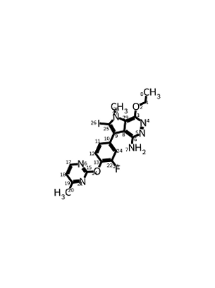 CCOc1nnc(N)c2c(-c3ccc(Oc4nccc(C)n4)c(F)c3)c(I)n(C)c12